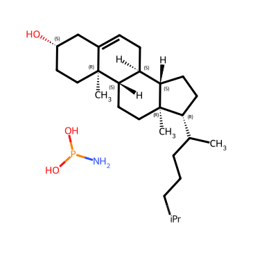 CC(C)CCCC(C)[C@H]1CC[C@H]2[C@@H]3CC=C4C[C@@H](O)CC[C@]4(C)[C@H]3CC[C@]12C.NP(O)O